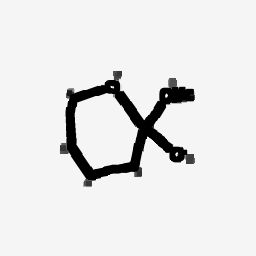 COC1([O])CCCCO1